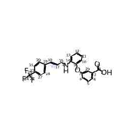 O=C(O)c1cccc(Oc2ccccc2NC/C=C/c2ccc(C(F)(F)F)cc2)c1